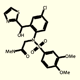 CNC(=O)CN(c1ccc(Cl)cc1C(O)c1nccs1)S(=O)(=O)c1ccc(OC)c(OC)c1